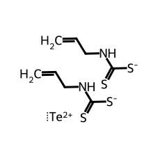 C=CCNC(=S)[S-].C=CCNC(=S)[S-].[Te+2]